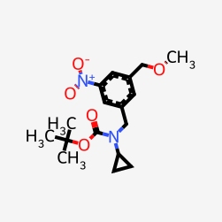 COCc1cc(CN(C(=O)OC(C)(C)C)C2CC2)cc([N+](=O)[O-])c1